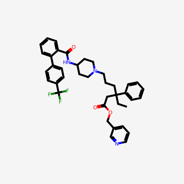 CCC(CCCN1CCC(NC(=O)c2ccccc2-c2ccc(C(F)(F)F)cc2)CC1)(CC(=O)OCc1cccnc1)c1ccccc1